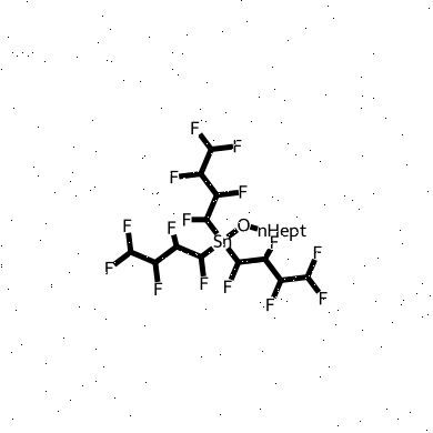 CCCCCCC[O][Sn]([CH](F)C(F)C(F)C(F)F)([CH](F)C(F)C(F)C(F)F)[CH](F)C(F)C(F)C(F)F